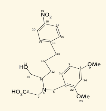 COc1ccc(CN(CC(=O)O)C(CO)CCCc2ccc([N+](=O)[O-])cc2)c(OC)c1